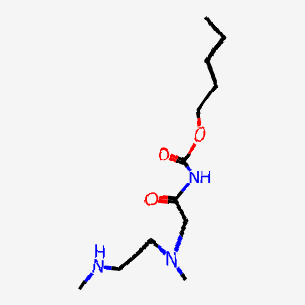 CCCCCOC(=O)NC(=O)CN(C)CCNC